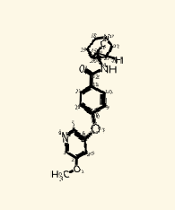 COc1cncc(Oc2ccc(C(=O)N[C@H]3CN4CCC3CC4)cc2)c1